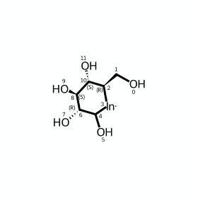 OC[C@H]1[In][CH](O)[C@H](O)[C@@H](O)[C@@H]1O